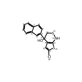 OC1(c2ccc3ccccc3c2)CSNc2sc(Cl)cc21